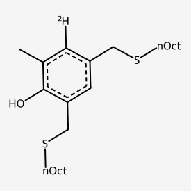 [2H]c1c(CSCCCCCCCC)cc(CSCCCCCCCC)c(O)c1C